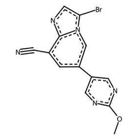 COc1ncc(-c2cc(C#N)c3ncc(Br)n3c2)cn1